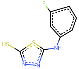 Fc1cccc(Nc2nnc(S)s2)c1